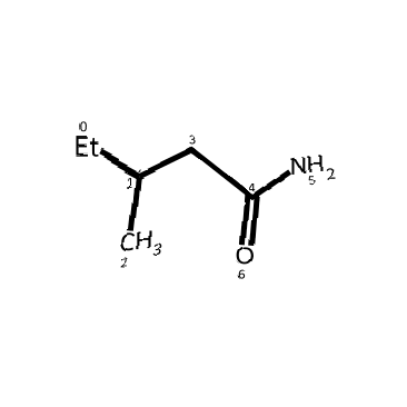 CC[C](C)CC(N)=O